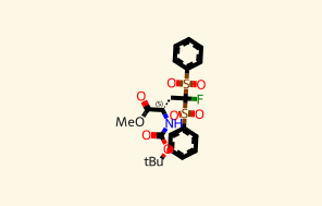 COC(=O)[C@H](CC(F)(S(=O)(=O)c1ccccc1)S(=O)(=O)c1ccccc1)NC(=O)OC(C)(C)C